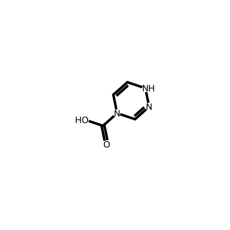 O=C(O)N1C=CNN=C1